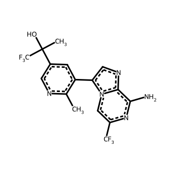 Cc1ncc(C(C)(O)C(F)(F)F)cc1-c1cnc2c(N)nc(C(F)(F)F)cn12